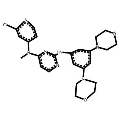 CN(c1ccnc(Cl)c1)c1ccnc(Nc2cc(N3CCOCC3)cc(N3CCOCC3)c2)n1